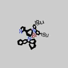 CC(C)(C)c1ccc2c(c1)c1cc(C(C)(C)C)ccc1n2-c1cc(-c2cccnc2)cc(-n2c3cc4ccccc4cc3c3c4ccccc4ccc32)c1Br